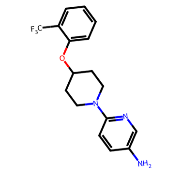 Nc1ccc(N2CCC(Oc3ccccc3C(F)(F)F)CC2)nc1